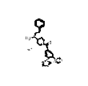 CN(CCc1ccccc1)C1CCN(C(=O)c2ccc(-n3cncn3)c(-n3cncn3)c2)CC1.Cl